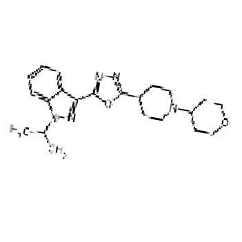 CC(C)n1nc(-c2nnc(C3CCN(C4CCOCC4)CC3)o2)c2ccccc21